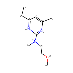 CCc1cc(C)nc(N(C)CCOC)n1